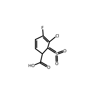 O=C(O)C1C=CC(F)=C(Cl)C1=S(=O)=O